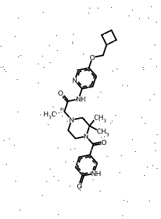 C[C@H](C(=O)Nc1ccc(OCC2CCC2)cn1)N1CCN(C(=O)c2ccc(=O)[nH]c2)C(C)(C)C1